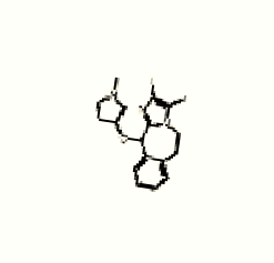 CN1CCC(OC2c3ccccc3CCn3c2nc(I)c3I)C1